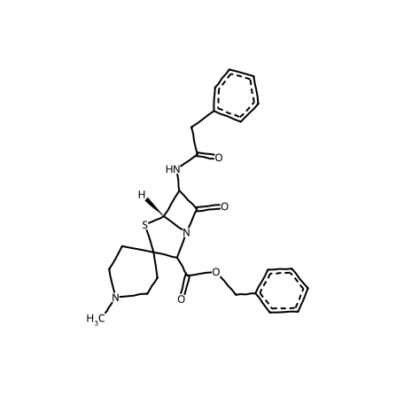 CN1CCC2(CC1)S[C@@H]1C(NC(=O)Cc3ccccc3)C(=O)N1C2C(=O)OCc1ccccc1